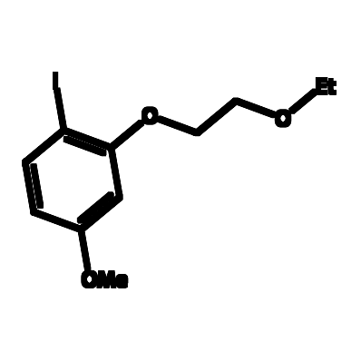 CCOCCOc1cc(OC)ccc1I